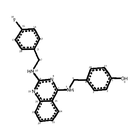 Oc1ccc(CNc2nc(NCc3ccc(F)cc3)nc3ccccc23)cc1